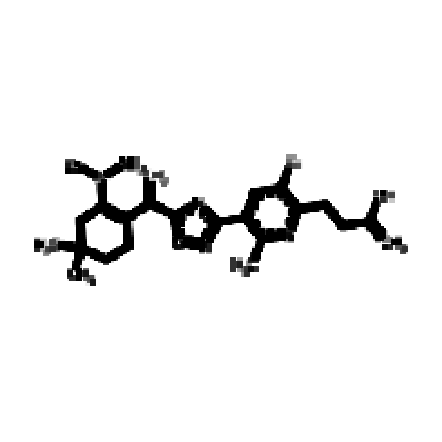 C=C(O)CCc1nc(C)c(-c2noc(C(=C)C3=C(N(N)CC)CC(C)(C)CC3)n2)cc1CC